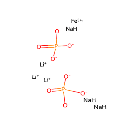 O=P([O-])([O-])[O-].O=P([O-])([O-])[O-].[Fe+3].[Li+].[Li+].[Li+].[NaH].[NaH].[NaH]